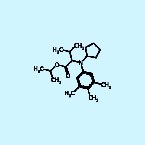 Cc1cc(N(C2CCCC2)C(C(=O)OC(C)C)C(C)C)cc(C)c1C